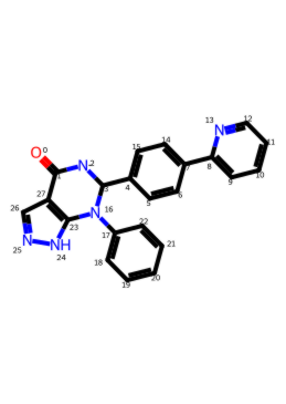 O=C1[N]C(c2ccc(-c3ccccn3)cc2)N(c2ccccc2)c2[nH]ncc21